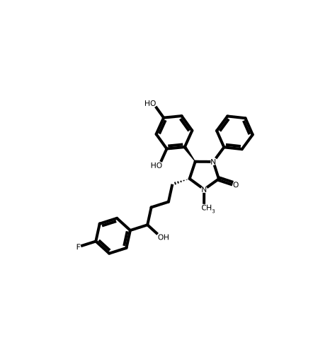 CN1C(=O)N(c2ccccc2)[C@H](c2ccc(O)cc2O)[C@H]1CCCC(O)c1ccc(F)cc1